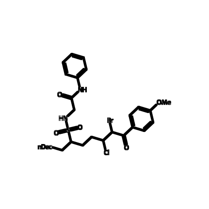 CCCCCCCCCCCC(CCC(Cl)C(Br)C(=O)c1ccc(OC)cc1)S(=O)(=O)NCC(=O)Nc1ccccc1